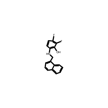 Oc1c(NCc2cccc3ccccc23)ccc(F)c1F